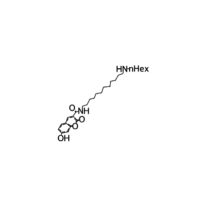 CCCCCCNCCCCCCCCCCCCNC(=O)c1cc2ccc(O)cc2oc1=O